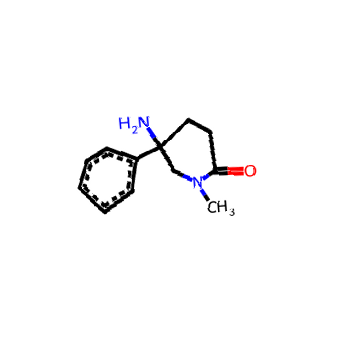 CN1CC(N)(c2ccccc2)CCC1=O